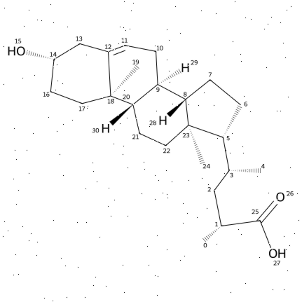 C[C@H](C[C@@H](C)[C@H]1CC[C@H]2[C@@H]3CC=C4C[C@@H](O)CC[C@]4(C)[C@H]3CC[C@]12C)C(=O)O